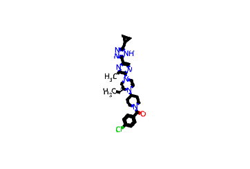 CC[C@H]1CN(c2ncc(-c3nnc(C4CC4)[nH]3)nc2C)CCN1C1CCN(C(=O)c2ccc(Cl)cc2)CC1